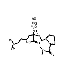 CN(C)C(=O)C1CCCN1CCC(N)(CCCCB(O)O)C(=O)O.Cl.Cl.O